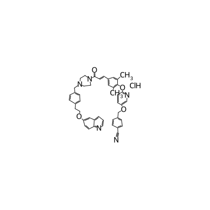 Cc1cc(C=CC(=O)N2CCN(Cc3ccc(CCOc4ccc5ncccc5c4)cc3)CC2)cc(C)c1Oc1ccc(OCc2ccc(C#N)cc2)cn1.Cl